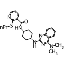 CCCSc1ncccc1C(=O)N[C@H]1CC[C@@H](Nc2nc(N(C)C)c3ccccc3n2)CC1